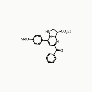 CCOC(=O)C1CNN2C(c3ccc(OC)cc3)=CC(C(=O)c3ccccc3)=NC12